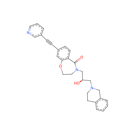 O=C1c2ccc(C#Cc3cccnc3)cc2OCCN1C[C@H](O)CN1CCc2ccccc2C1